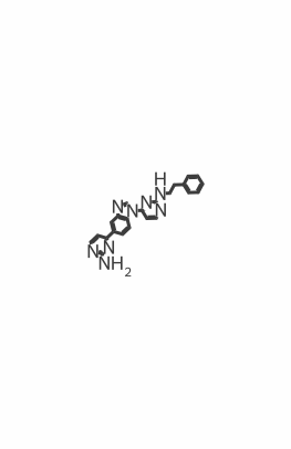 Nc1nccc(-c2ccc3c(c2)ncn3-c2ccnc(NCCc3ccccc3)n2)n1